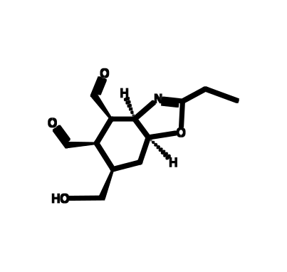 CCC1=N[C@@H]2[C@H](C=O)[C@H](C=O)[C@H](CO)C[C@@H]2O1